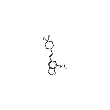 Nc1cc(/C=C/C2CCC(F)(F)CC2)cc2c1OCC2